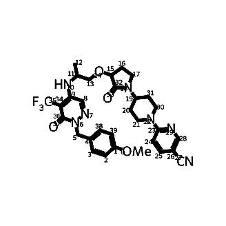 COc1ccc(Cn2ncc(NC(C)COC3CCN(C4CCN(c5ccc(C#N)cn5)CC4)C3=O)c(C(F)(F)F)c2=O)cc1